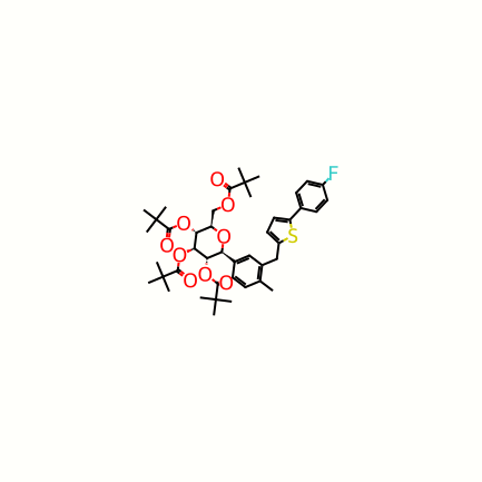 Cc1ccc([C@@H]2O[C@H](COC(=O)C(C)(C)C)[C@@H](OC(=O)C(C)(C)C)[C@H](OC(=O)C(C)(C)C)[C@H]2OC(=O)C(C)(C)C)cc1Cc1ccc(-c2ccc(F)cc2)s1